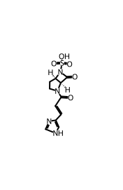 O=C(C=Cc1c[nH]cn1)N1CC[C@@H]2[C@H]1C(=O)N2S(=O)(=O)O